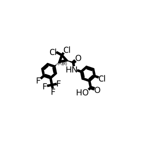 O=C(O)c1cc(NC(=O)[C@H]2[C@H](c3ccc(F)c(C(F)(F)F)c3)C2(Cl)Cl)ccc1Cl